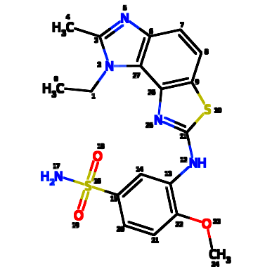 CCn1c(C)nc2ccc3sc(Nc4cc(S(N)(=O)=O)ccc4OC)nc3c21